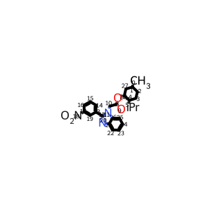 CC1CCC(C(C)C)[C@H](OC(=O)Cn2c(-c3cccc([N+](=O)[O-])c3)nc3ccccc32)C1